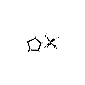 C1CCOC1.O=S(=O)(F)F